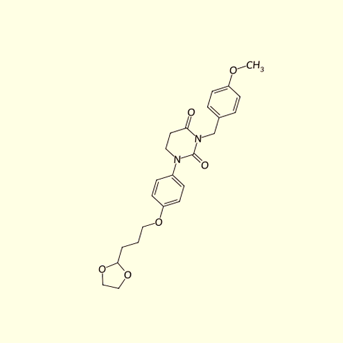 COc1ccc(CN2C(=O)CCN(c3ccc(OCCCC4OCCO4)cc3)C2=O)cc1